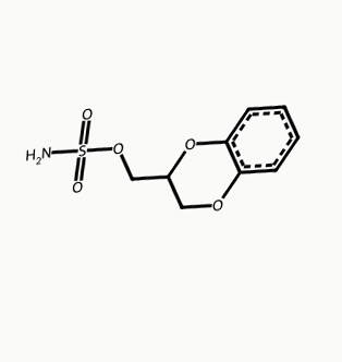 NS(=O)(=O)OCC1COc2ccccc2O1